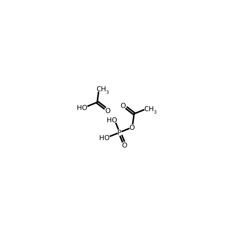 CC(=O)O.CC(=O)OP(=O)(O)O